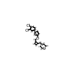 Clc1ccc(-n2ccc(OCC3CCC3CN3CCOCC3)n2)cc1Cl